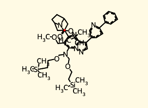 COCc1c(C2CC3CCC(C2)N3C(=O)OC(C)(C)C)nc2c(-c3ccc(-c4ccccc4)nc3)cnn2c1N(COCC[Si](C)(C)C)COCC[Si](C)(C)C